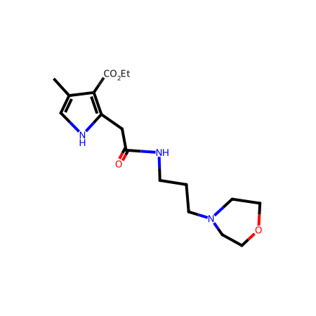 CCOC(=O)c1c(C)c[nH]c1CC(=O)NCCCN1CCOCC1